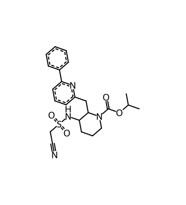 CC(C)OC(=O)N1CCCC(NS(=O)(=O)CC#N)C1Cc1cccc(-c2ccccc2)n1